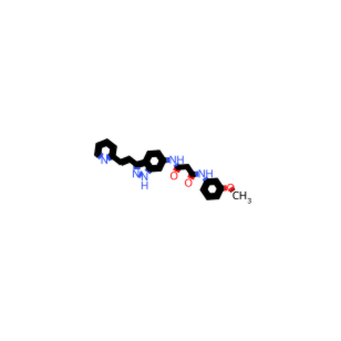 COc1cccc(NC(=O)CC(=O)Nc2ccc3c(C=Cc4ccccn4)n[nH]c3c2)c1